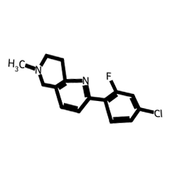 CN1CCc2nc(-c3ccc(Cl)cc3F)ccc2C1